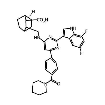 O=C(O)[C@@H]1C2CCC(CC2)C1CNc1cc(-c2ccc(C(=O)N3CCCCC3)cc2)nc(-c2c[nH]c3c(F)cc(F)cc23)n1